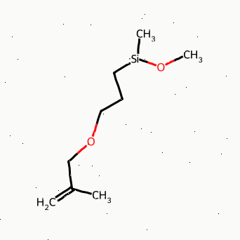 C=C(C)COCCC[Si](C)OC